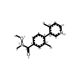 CON(C)C(=O)c1ccc(-c2cnccc2C)c(C)c1